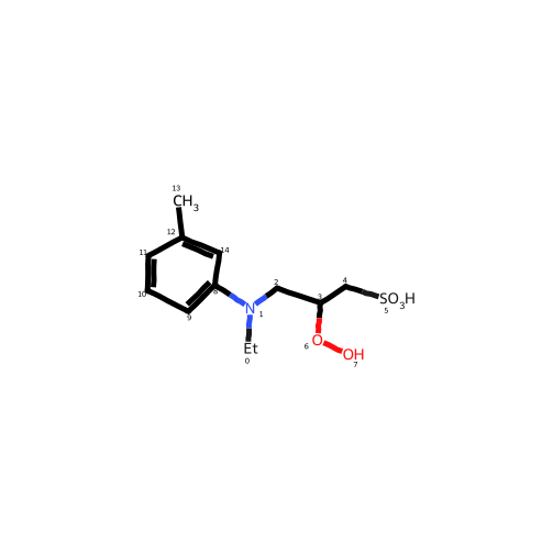 CCN(CC(CS(=O)(=O)O)OO)c1cccc(C)c1